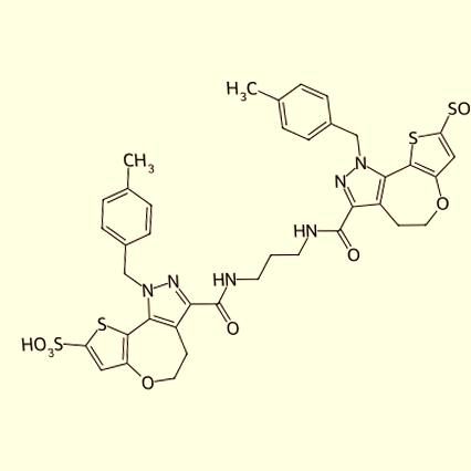 Cc1ccc(Cn2nc(C(=O)NCCCNC(=O)c3nn(Cc4ccc(C)cc4)c4c3CCOc3cc(S(=O)(=O)O)sc3-4)c3c2-c2sc(S(=O)(=O)O)cc2OCC3)cc1